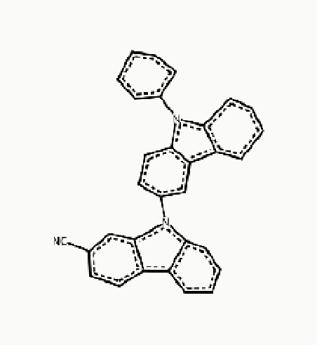 N#Cc1ccc2c3ccccc3n(-c3ccc4c(c3)c3ccccc3n4-c3ccccc3)c2c1